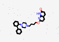 O=c1ccc2ccc(OCCCCN3CCN(c4ccccc4-c4ccccc4)CC3)nc2[nH]1